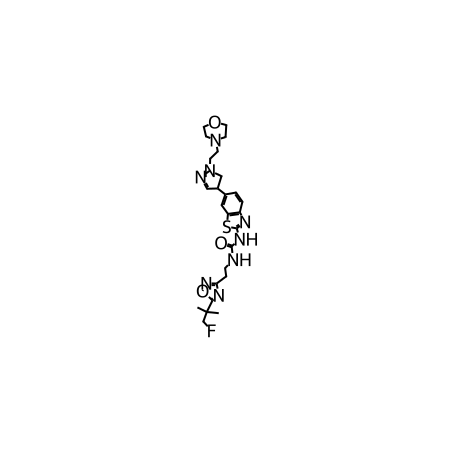 CC(C)(CF)c1nc(CCNC(=O)Nc2nc3ccc(C4C=NN(CCN5CCOCC5)C4)cc3s2)no1